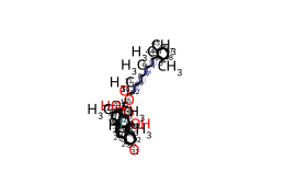 CC1=C(/C=C/C(C)=C/C=C/C(C)=C/C(=O)OCC(=O)[C@@]2(O)[C@H](C)C[C@H]3[C@@H]4CCC5=CC(=O)C=C[C@]5(C)[C@@]4(F)[C@@H](O)C[C@@]32C)C(C)(C)CCC1